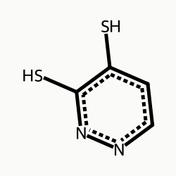 Sc1ccnnc1S